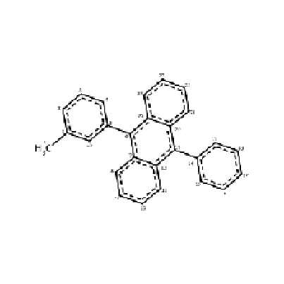 Cc1cccc(-c2c3ccccc3c(-c3ccccc3)c3ccccc23)c1